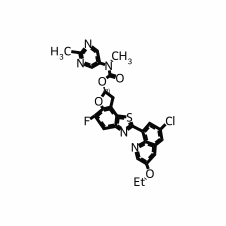 CCOc1cnc2c(-c3nc4cc(F)c5c(c4s3)C[C@@H](OC(=O)N(C)c3cnc(C)nc3)O5)cc(Cl)cc2c1